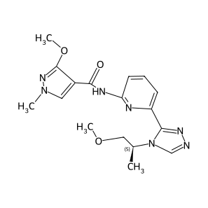 COC[C@H](C)n1cnnc1-c1cccc(NC(=O)c2cn(C)nc2OC)n1